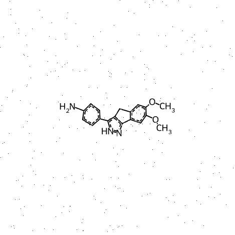 COc1cc2c(cc1OC)-c1n[nH]c(-c3ccc(N)cc3)c1C2